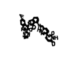 O=C1CCN(c2ccc(CNc3cccc4c3C(=O)N(C(C(=O)Nc3nccs3)c3cc(F)ccc3O)C4)nn2)C(=O)N1